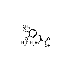 COc1ccc(/C=C(\[AsH2])C(=O)O)cc1OC